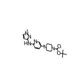 Cn1ccc(Nc2ccc(N3CCN(C(=O)OC(C)(C)C)CC3)cn2)n1